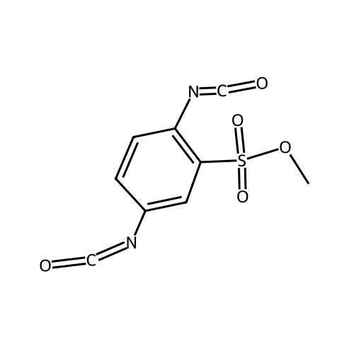 COS(=O)(=O)c1cc(N=C=O)ccc1N=C=O